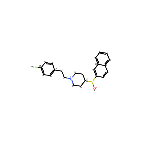 [O-][S+](c1ccc2ccccc2c1)C1CCN(CCc2ccc(F)cc2)CC1